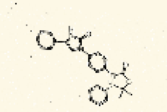 CC1(C)OC(=O)N(c2ccc(-n3cc(-c4ccccc4)[nH]c3=O)cc2)[C@H]1c1ccccc1